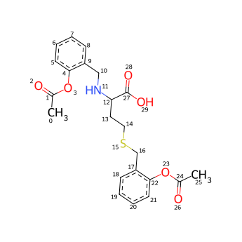 CC(=O)Oc1ccccc1CNC(CCSCc1ccccc1OC(C)=O)C(=O)O